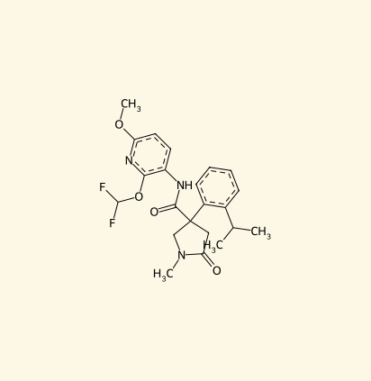 COc1ccc(NC(=O)C2(c3ccccc3C(C)C)CC(=O)N(C)C2)c(OC(F)F)n1